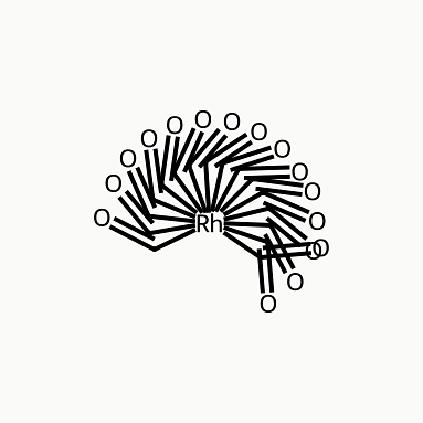 O=[CH][Rh]([CH]=O)([CH]=O)([CH]=O)([CH]=O)([CH]=O)([CH]=O)([CH]=O)([CH]=O)([CH]=O)([CH]=O)([CH]=O)([CH]=O)([CH]=O)([CH]=O)[CH]=O